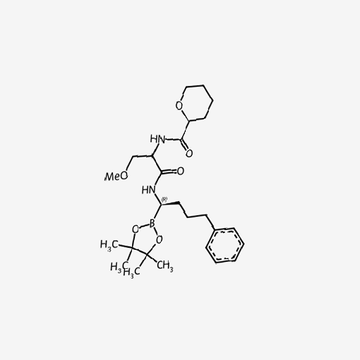 COCC(NC(=O)C1CCCCO1)C(=O)N[C@@H](CCCc1ccccc1)B1OC(C)(C)C(C)(C)O1